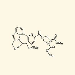 CNCCC1COCc2nc3cccc(-c4cccc(N[C@H]5C[C@@H](C(=O)OC)N(C(=O)OC(C)(C)C)C5)n4)c3n21